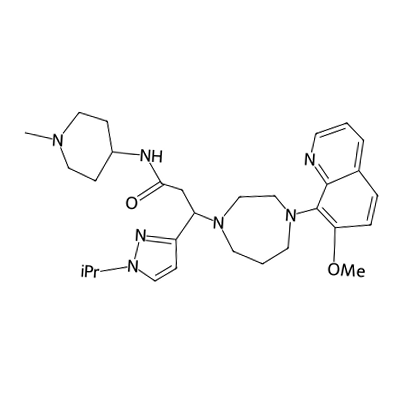 COc1ccc2cccnc2c1N1CCCN(C(CC(=O)NC2CCN(C)CC2)c2ccn(C(C)C)n2)CC1